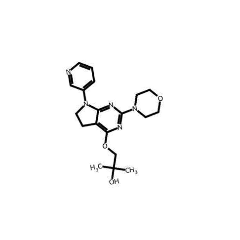 CC(C)(O)COc1nc(N2CCOCC2)nc2c1CCN2c1cccnc1